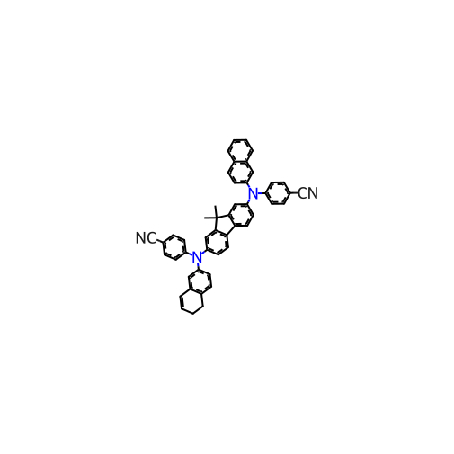 CC1(C)c2cc(N(c3ccc(C#N)cc3)c3ccc4c(c3)C=CCC4)ccc2-c2ccc(N(c3ccc(C#N)cc3)c3ccc4ccccc4c3)cc21